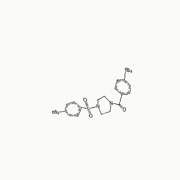 CC(C)(C)c1ccc(C(=O)N2CCN(S(=O)(=O)c3ccc(C(C)(C)C)cc3)CC2)cc1